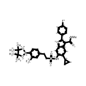 CNC(=O)c1c(-c2ccc(F)cc2)oc2cc(NS(=O)(=O)CCc3ccc(B4OC(C)(C)C(C)(C)O4)c(C(F)(F)F)c3)c(C3CC3)cc12